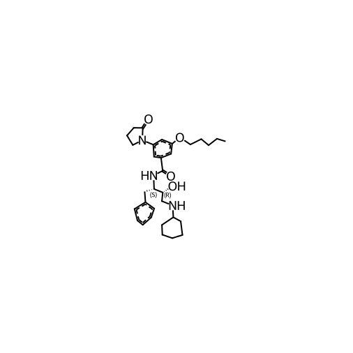 CCCCCOc1cc(C(=O)N[C@@H](Cc2ccccc2)[C@H](O)CNC2CCCCC2)cc(N2CCCC2=O)c1